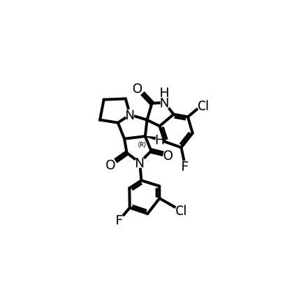 O=C1C2C3CCCN3C3(C(=O)Nc4c(Cl)cc(F)cc43)[C@@H]2C(=O)N1c1cc(F)cc(Cl)c1